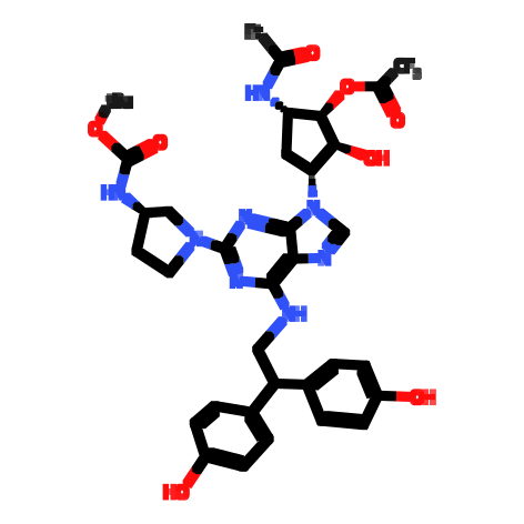 CCC(=O)N[C@H]1C[C@@H](n2cnc3c(NCC(c4ccc(O)cc4)c4ccc(O)cc4)nc(N4CC[C@@H](NC(=O)OC(C)(C)C)C4)nc32)[C@H](O)[C@@H]1OC(=O)C(F)(F)F